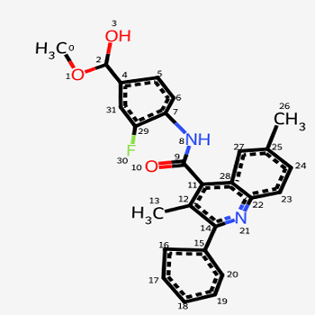 COC(O)c1ccc(NC(=O)c2c(C)c(-c3ccccc3)nc3ccc(C)cc23)c(F)c1